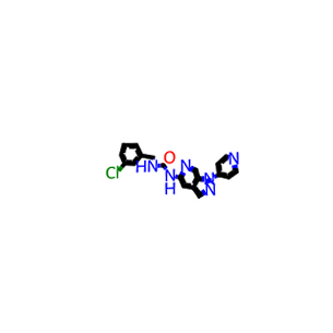 O=C(NCc1cccc(Cl)c1)Nc1cc2cnn(-c3ccncc3)c2cn1